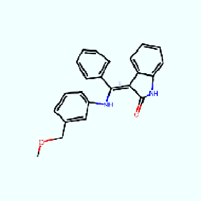 COCc1cccc(N/C(=C2\C(=O)Nc3ccccc32)c2ccccc2)c1